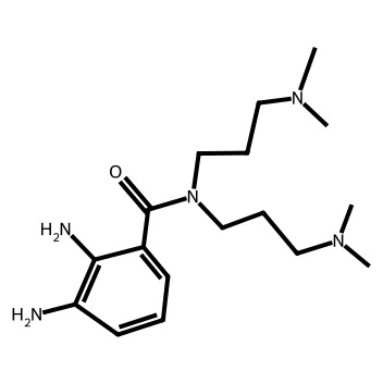 CN(C)CCCN(CCCN(C)C)C(=O)c1cccc(N)c1N